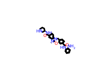 Cn1c(=O)n(Cc2ccc(C(=O)Nc3ccccc3N)cc2)c2ccc(C(=O)N[C@@H]3CCCNC3)cc21